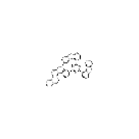 c1ccc(-c2nc(-c3cccc4oc5ccccc5c34)nc(-c3cccc4sc5ccc(-c6ccc7c8c(ccc7c6)-c6ccccc6CC8)cc5c34)n2)cc1